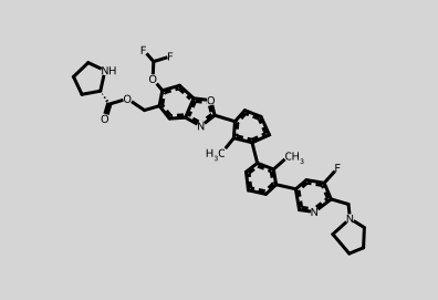 Cc1c(-c2cnc(CN3CCCC3)c(F)c2)cccc1-c1cccc(-c2nc3cc(COC(=O)[C@@H]4CCCN4)c(OC(F)F)cc3o2)c1C